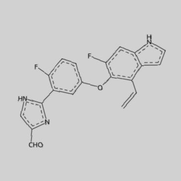 C=Cc1c(Oc2ccc(F)c(-c3nc(C=O)c[nH]3)c2)c(F)cc2[nH]ccc12